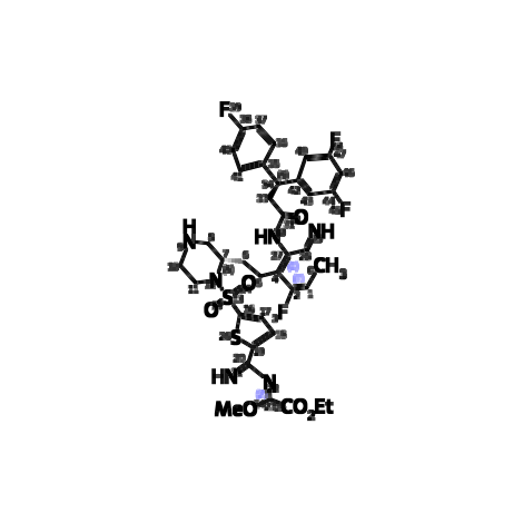 C/C=C(F)\C(CC[C@H]1CNCCN1S(=O)(=O)c1ccc(C(=N)/N=C(\OC)C(=O)OCC)s1)=C(/C=N)NC(=O)C[C@@H](c1ccc(F)cc1)c1cc(F)cc(F)c1